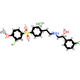 CC(=O)OOc1ccc(S(=O)(=O)c2ccc(CCNC[C@H](O)c3cccc(Cl)c3)cc2)cc1F.Cl